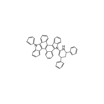 C1=C(n2c3ccccc3c3c4c5ccccc5c5c(c6ccccc6n5-c5ccccc5)c4c4ccccc4c32)NC(c2ccccc2)CC1c1ccccc1